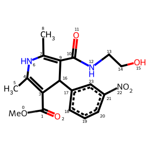 COC(=O)C1=C(C)NC(C)=C(C(=O)NCCO)C1c1cccc([N+](=O)[O-])c1